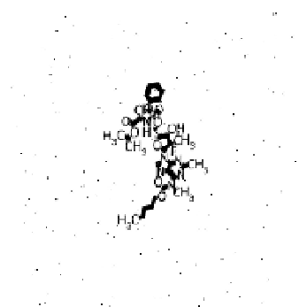 CCCCCOC(=O)N(C)c1nc(C)nc2c1ncn2[C@@H]1O[C@H](CO[P@@](=O)(N[C@@H](C)C(=O)OC(C)C)Oc2ccccc2)[C@@H](O)[C@@]1(C)F